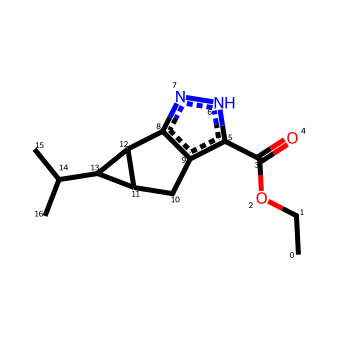 CCOC(=O)c1[nH]nc2c1CC1C2C1C(C)C